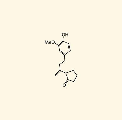 C=C(CCc1ccc(O)c(OC)c1)C1CCCC1=O